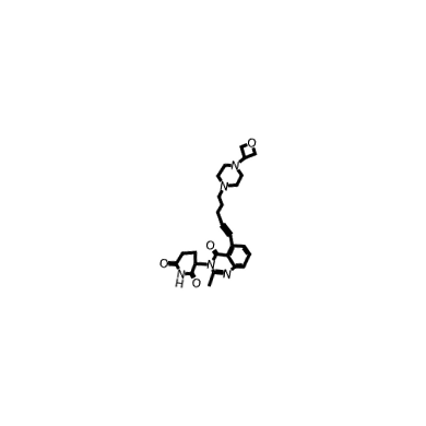 Cc1nc2cccc(C#CCCCN3CCN(C4COC4)CC3)c2c(=O)n1C1CCC(=O)NC1=O